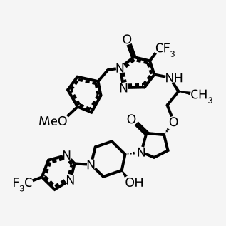 COc1ccc(Cn2ncc(N[C@@H](C)CO[C@@H]3CCN([C@H]4CCN(c5ncc(C(F)(F)F)cn5)C[C@@H]4O)C3=O)c(C(F)(F)F)c2=O)cc1